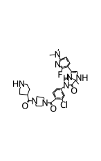 CN(C)c1ccc(C2=CNC(C)(C(=O)Nc3ccc(C(=O)N4CCN(C(=O)C5CCNCC5)CC4)c(Cl)c3)N2C)c(F)n1